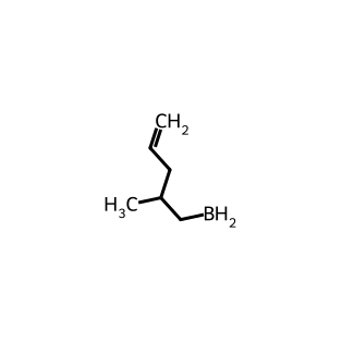 BCC(C)CC=C